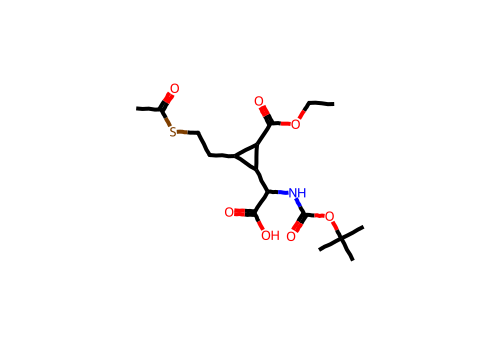 CCOC(=O)C1C(CCSC(C)=O)C1C(NC(=O)OC(C)(C)C)C(=O)O